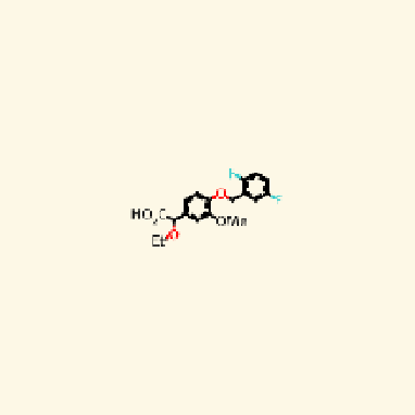 CCOC(C(=O)O)c1ccc(OCc2cc(F)ccc2F)c(OC)c1